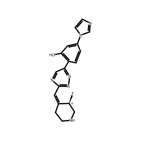 Oc1cc(-n2ccnc2)ccc1-c1cnc(/C=C2/CCNC[C@@H]2F)nn1